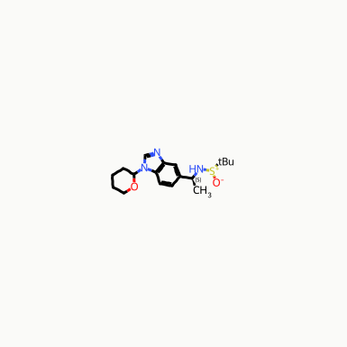 C[C@H](N[S+]([O-])C(C)(C)C)c1ccc2c(c1)ncn2C1CCCCO1